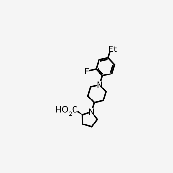 CCc1ccc(N2CCC(N3CCC[C@H]3C(=O)O)CC2)c(F)c1